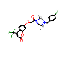 C[C@@H]1CN(C(=O)COc2ccc3c(C(F)(F)F)cc(=O)oc3c2)[C@@H](C)CN1Cc1ccc(F)cc1